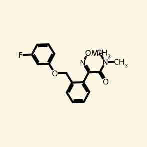 CON=C(C(=O)N(C)C)c1ccccc1COc1cccc(F)c1